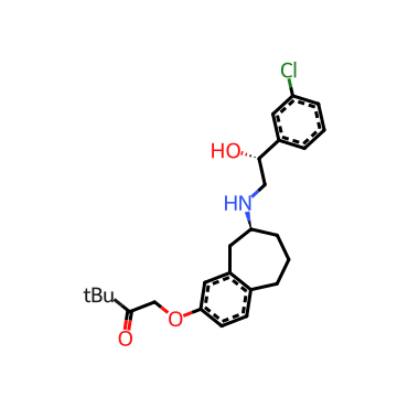 CC(C)(C)C(=O)COc1ccc2c(c1)C[C@@H](NC[C@H](O)c1cccc(Cl)c1)CCC2